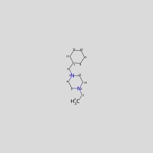 CCN1CCN(CC2CCCCC2)CC1